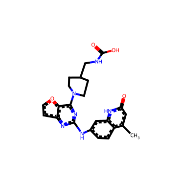 Cc1cc(=O)[nH]c2cc(Nc3nc(N4CCC(CNC(=O)O)CC4)c4occc4n3)ccc12